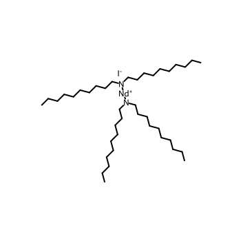 CCCCCCCCCC[N](CCCCCCCCCC)[Nd+][N](CCCCCCCCCC)CCCCCCCCCC.[I-]